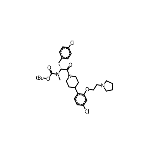 CN(C(=O)OC(C)(C)C)[C@H](Cc1ccc(Cl)cc1)C(=O)N1CCC(c2ccc(Cl)cc2OCCN2CCCC2)CC1